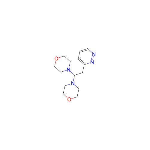 c1cnnc(CC(N2CCOCC2)N2CCOCC2)c1